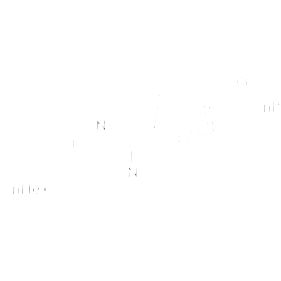 CCCCCCc1cnc(-c2ccc(OCCC)cc2)nc1